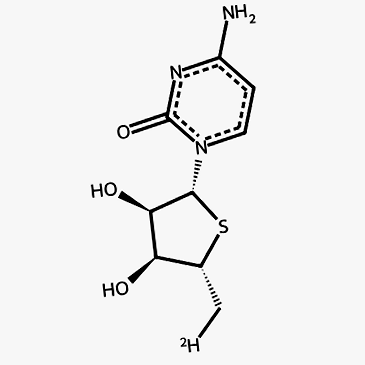 [2H]C[C@H]1S[C@@H](n2ccc(N)nc2=O)[C@H](O)[C@@H]1O